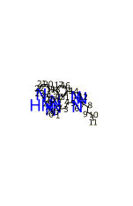 CCCCCc1nc(CCCC)nn1Cc1ccc(-c2cccnc2-c2nnn[nH]2)cc1